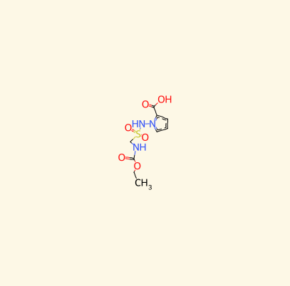 CCOC(=O)NCS(=O)(=O)Nn1cccc1C(=O)O